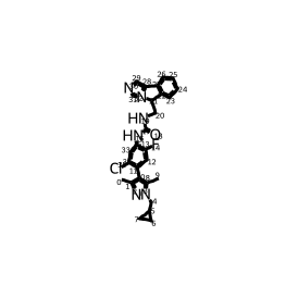 Cc1nn(CC2CC2)c(C)c1-c1cc(F)c(NC(=O)NCC2c3ccccc3-c3cncn32)cc1Cl